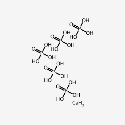 O=P(O)(O)O.O=P(O)(O)O.O=P(O)(O)O.O=P(O)(O)O.O=P(O)(O)O.[CaH2]